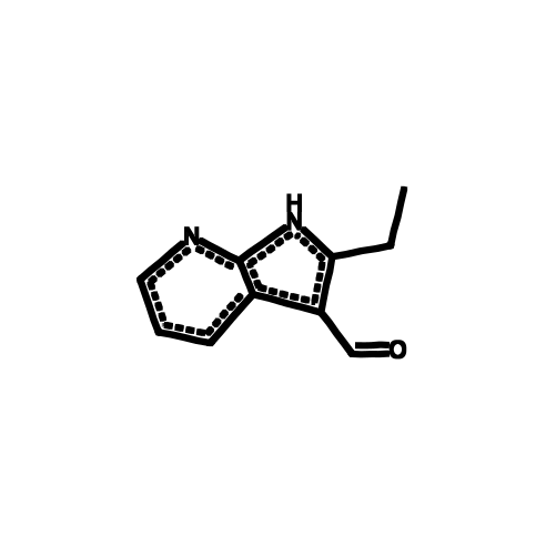 CCc1[nH]c2ncccc2c1C=O